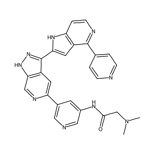 CN(C)CC(=O)Nc1cncc(-c2cc3c(-c4cc5c(-c6ccncc6)nccc5[nH]4)n[nH]c3cn2)c1